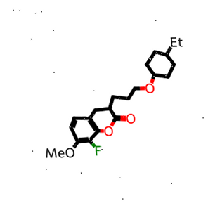 CCC1CCC(OCCCC2Cc3ccc(OC)c(F)c3OC2=O)CC1